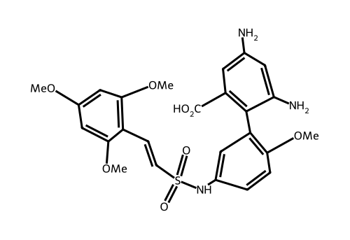 COc1cc(OC)c(C=CS(=O)(=O)Nc2ccc(OC)c(-c3c(N)cc(N)cc3C(=O)O)c2)c(OC)c1